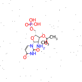 CC(=O)O[C@@H]1[C@@H](COP(=O)(O)O)O[C@@H](n2ccc(=O)[nH]c2=O)[C@]1(C)N